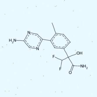 Cc1ccc(C(O)(C(N)=O)C(F)F)cc1-c1cnc(N)cn1